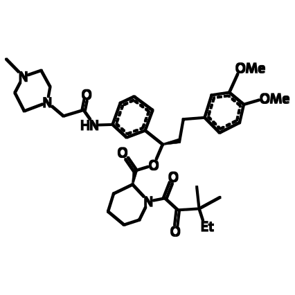 CCC(C)(C)C(=O)C(=O)N1CCCC[C@H]1C(=O)O[C@H](CCc1ccc(OC)c(OC)c1)c1cccc(NC(=O)CN2CCN(C)CC2)c1